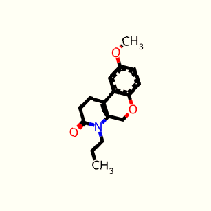 CCCN1C(=O)CCC2=C1COc1ccc(OC)cc12